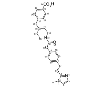 Cn1ccnc1SCc1ccc(OC(=O)N2CCN(Cc3ccc(C(=O)O)cn3)CC2)cc1